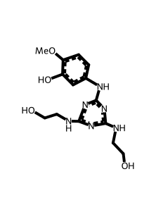 COc1ccc(Nc2nc(NCCO)nc(NCCO)n2)cc1O